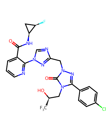 O=C(N[C@H]1C[C@H]1F)c1cccnc1-n1cnc(Cn2nc(-c3ccc(Cl)cc3)n(C[C@H](O)C(F)(F)F)c2=O)n1